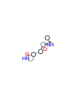 C[C@@H](N[C@@H]1CCCc2c1oc1ccc(-c3ccc4c(c3)CCCNC4=O)cc21)c1ccccc1